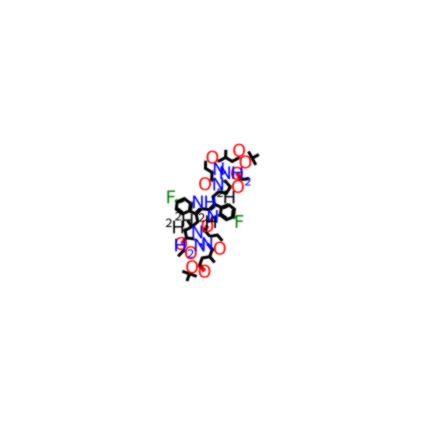 [2H]c1cc(F)cc2c1c(CC1CC(OC(C)=O)CN1C(=O)C(CC)N(N)C(=O)C(C)CC(=O)OC(C)(C)C)c(-c1[nH]c3cc(F)ccc3c1CC1([2H])C([2H])C(OC(C)=O)CN1C(=O)C(CC)N(N)C(=O)C(C)CC(=O)OC(C)(C)C)n2[2H]